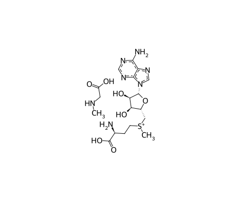 CNCC(=O)O.C[S+](CC[C@H](N)C(=O)O)C[C@H]1O[C@@H](n2cnc3c(N)ncnc32)[C@H](O)[C@@H]1O